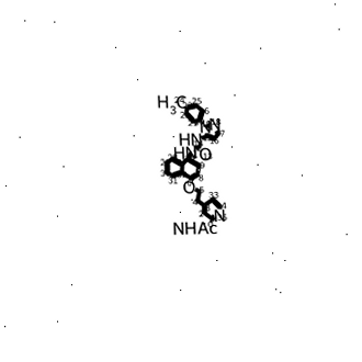 CC(=O)Nc1cc(CCOc2ccc(NC(=O)Nc3ccnn3-c3ccc(C)cc3)c3ccccc23)ccn1